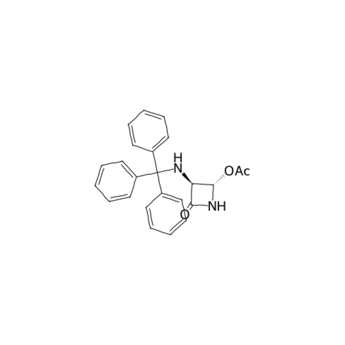 CC(=O)O[C@@H]1NC(=O)[C@H]1NC(c1ccccc1)(c1ccccc1)c1ccccc1